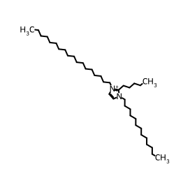 CCCCCCCCCCCCCCCCCC[n+]1ccn(CCCCCCCCCCCCC)c1CCCCC